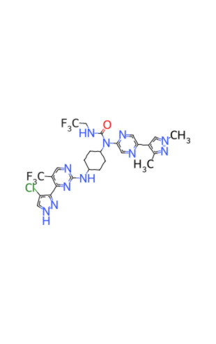 Cc1nn(C)cc1-c1cnc(N(C(=O)NCC(F)(F)F)C2CCC(Nc3ncc(C(F)(F)F)c(-c4n[nH]cc4Cl)n3)CC2)cn1